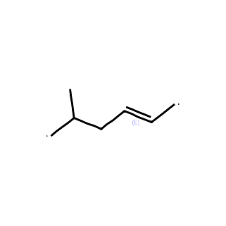 [CH2]/C=C/CC([CH2])C